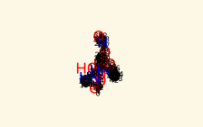 C[C@@H]1C[C@H](OC(=O)N[C@@H](Cc2ccccc2)[C@@H](O)C[C@@H](Cc2ccc(OCCN3CCOCC3)cc2)C(=O)N[C@H]2c3ccccc3C[C@H]2O)CO1